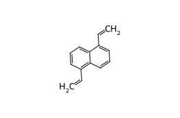 C=Cc1cccc2c(C=C)cccc12